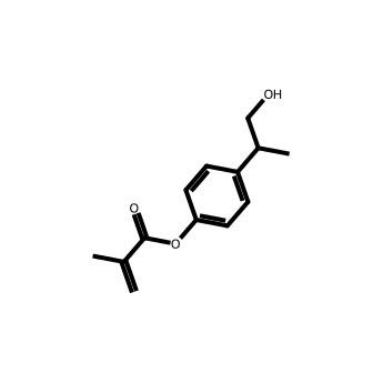 C=C(C)C(=O)Oc1ccc(C(C)CO)cc1